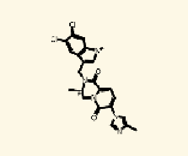 Cc1cn(-c2ccc3n(c2=O)C[C@@H](C)N(Cc2cn(C)c4cc(Cl)c(Cl)cc24)C3=O)cn1